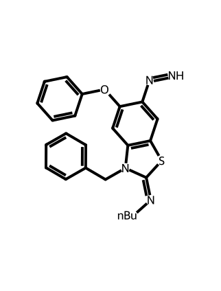 CCCCN=c1sc2cc(N=N)c(Oc3ccccc3)cc2n1Cc1ccccc1